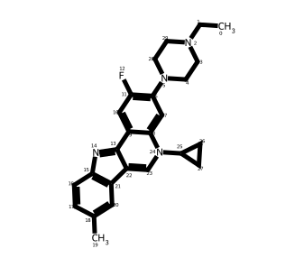 CCN1CCN(c2cc3c(cc2F)c2nc4ccc(C)cc4c-2cn3C2CC2)CC1